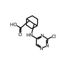 O=C(O)C1C2CCC(CC2)C1Nc1cnnc(Cl)n1